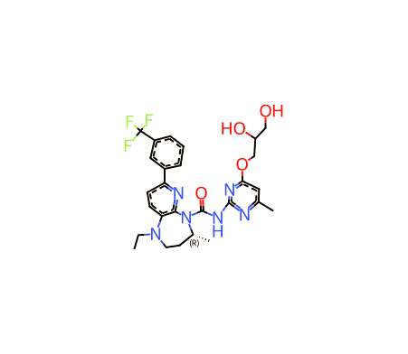 CCN1CC[C@@H](C)N(C(=O)Nc2nc(C)cc(OCC(O)CO)n2)c2nc(-c3cccc(C(F)(F)F)c3)ccc21